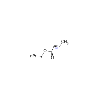 C/C=C/C(=O)O[CH]CCC